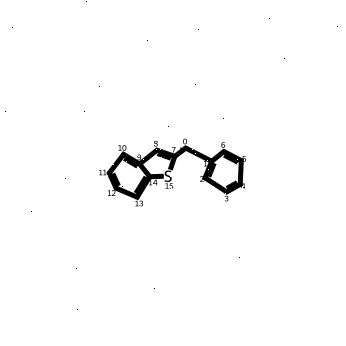 [CH](c1ccccc1)c1cc2ccccc2s1